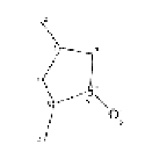 CC1CC(C)[S+]([O-])C1